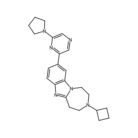 c1cc2nc3n(c2cc1-c1cncc(N2CCCC2)n1)CCN(C1CCC1)CC3